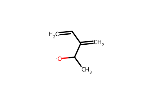 C=CC(=C)C(C)[O]